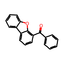 O=C(c1ccccc1)c1cccc2c1oc1ccccc12